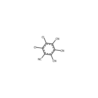 N#Cc1c(Cl)c(Cl)c(C#N)c(C#N)c1C#N